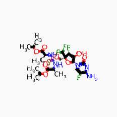 CC(C)OC(=O)[C@H](C)NP(=S)(N[C@@H](C)C(=O)OC(C)C)OC[C@@]1(C(F)F)O[C@@H](n2cc(F)c(N)nc2=O)[C@H](O)[C@H]1F